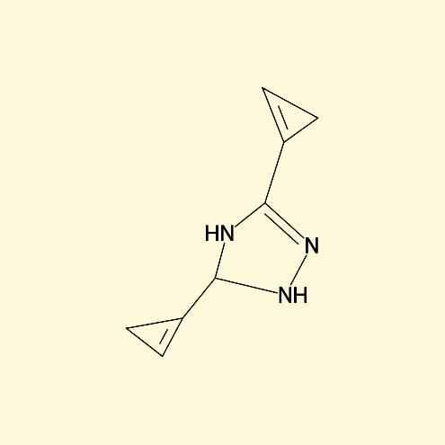 C1=C(C2=NNC(C3=CC3)N2)C1